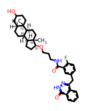 C[C@]12CCC(O)C[C@@H]1CC[C@@H]1[C@@H]2CC[C@]2(C)[C@@H](OCCCNC(=O)c3cc(Cc4n[nH]c(=O)c5ccccc45)ccc3F)CC[C@@H]12